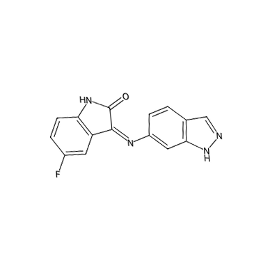 O=C1Nc2ccc(F)cc2/C1=N/c1ccc2cn[nH]c2c1